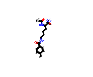 CCC(=O)NC(CCCCNC(=O)c1ccc(C)cc1)C(N)=O